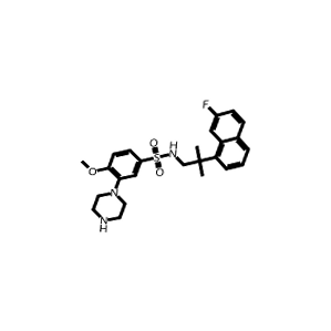 COc1ccc(S(=O)(=O)NCC(C)(C)c2cccc3ccc(F)cc23)cc1N1CCNCC1